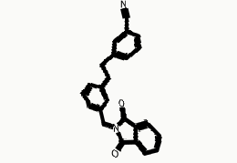 N#Cc1cccc(CCc2cccc(CN3C(=O)c4ccccc4C3=O)c2)c1